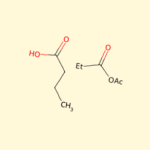 CCC(=O)OC(C)=O.CCCC(=O)O